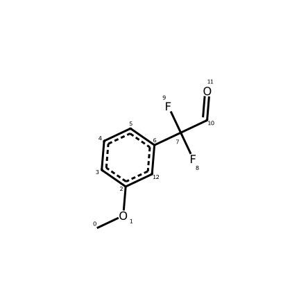 COc1cccc(C(F)(F)C=O)c1